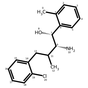 Cc1ccccc1[C@@H](O)[C@H](N)C(C)Cc1ccccc1Cl